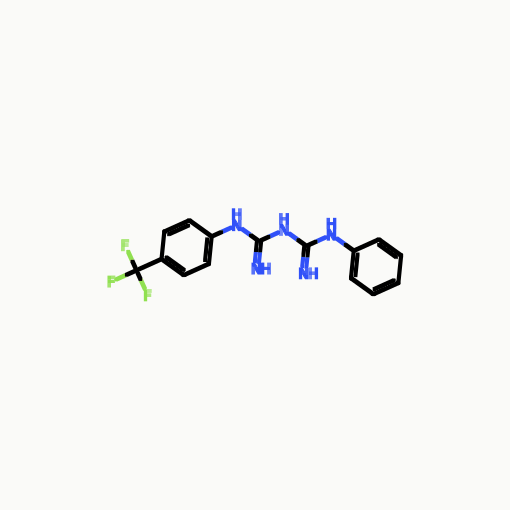 N=C(NC(=N)Nc1ccc(C(F)(F)F)cc1)Nc1ccccc1